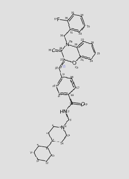 O=C(NCN1CCC(C2CCCCC2)CC1)c1ccc(/C=C2\Oc3ccccc3N(Cc3ccccc3F)C2=O)cc1